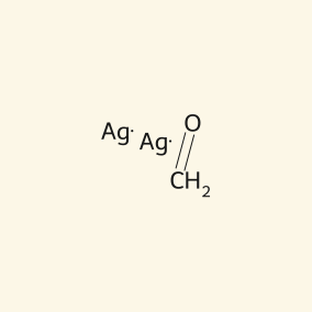 C=O.[Ag].[Ag]